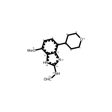 COc1ccc(C2CCOCC2)c2nc(NC=O)[nH]c12